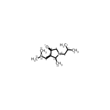 C[C](C)CN1CC(=O)/C(=C\N(C)C)C1C